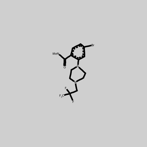 CNC(=O)c1ccc(Br)cc1N1CCN(CC(F)(F)C(F)(F)F)CC1